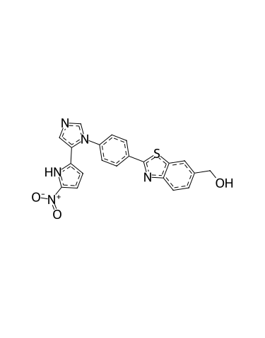 O=[N+]([O-])c1ccc(-c2cncn2-c2ccc(-c3nc4ccc(CO)cc4s3)cc2)[nH]1